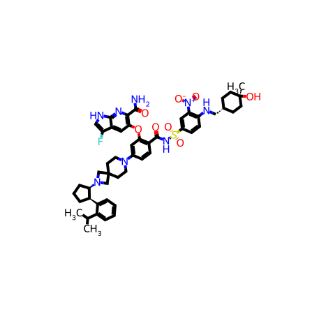 CC(C)c1ccccc1[C@H]1CCC[C@H]1N1CC2(CCN(c3ccc(C(=O)NS(=O)(=O)c4ccc(NC[C@H]5CC[C@](C)(O)CC5)c([N+](=O)[O-])c4)c(Oc4cc5c(F)c[nH]c5nc4C(N)=O)c3)CC2)C1